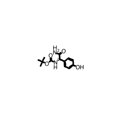 CC(C)(C)OC(=O)N[C@H](C(N)=O)c1ccc(O)cc1